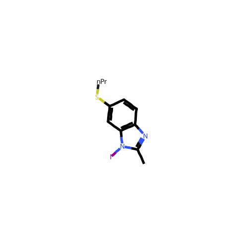 CCCSc1ccc2nc(C)n(I)c2c1